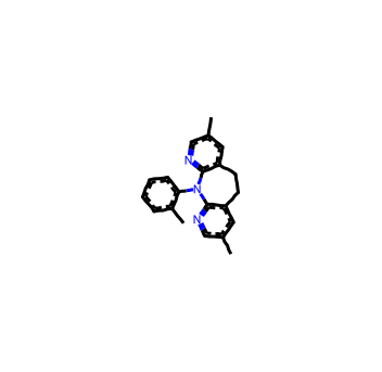 Cc1cnc2c(c1)CCc1cc(C)cnc1N2c1ccccc1C